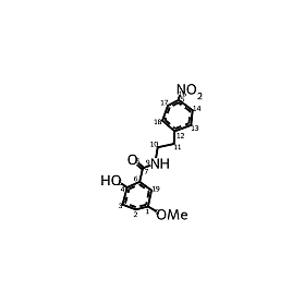 COc1ccc(O)c(C(=O)NCCc2ccc([N+](=O)[O-])cc2)c1